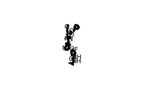 COCCN(Cc1cnc(-c2cc3nccc(Oc4ccc(NC(=O)NC5CC5)cc4F)c3s2)n1C)C(=O)OCc1ccccc1